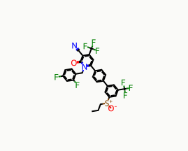 CCC[S+]([O-])c1cc(-c2ccc(-c3cc(C(F)(F)F)c(C#N)c(=O)n3Cc3ccc(F)cc3F)cc2)cc(C(F)(F)F)c1